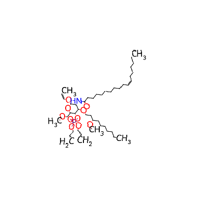 C=CCOP(=O)(OCC=C)O[C@@H]1C(COC)O[C@H](O/C=C\C)[C@H](NC(=O)CCCCCCCCC/C=C\CCCCCC)C1OCCC(CCCCCCC)OC